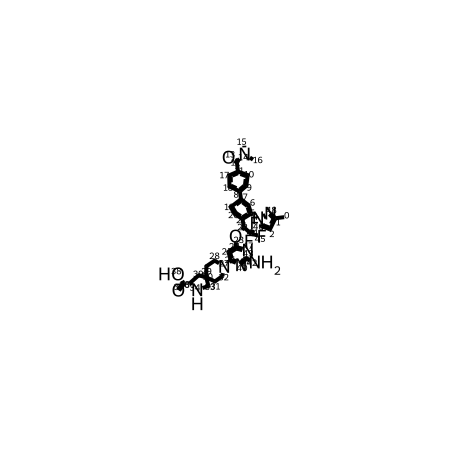 Cc1ccn(-c2cc(-c3ccc(C(=O)N(C)C)cc3)ccc2C(Oc2cc(N3CCC4(CC3)CN[C@H](C(=O)O)C4)nc(N)n2)C(F)(F)F)n1